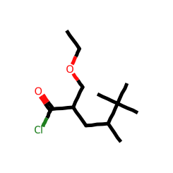 CCOCC(CC(C)C(C)(C)C)C(=O)Cl